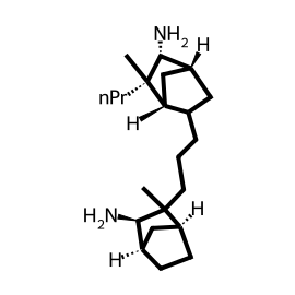 CCC[C@@]1(C)[C@@H]2C[C@@H](CC2CCCC2(C)[C@H]3CC[C@H](C3)[C@H]2N)[C@H]1N